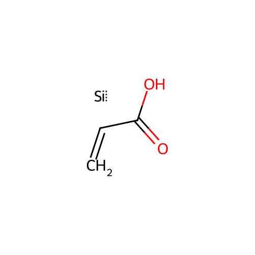 C=CC(=O)O.[Si]